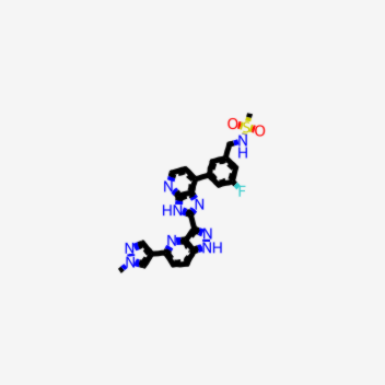 Cn1cc(-c2ccc3[nH]nc(-c4nc5c(-c6cc(F)cc(CNS(C)(=O)=O)c6)ccnc5[nH]4)c3n2)cn1